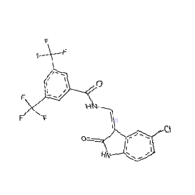 O=C1Nc2ccc(Cl)cc2/C1=C/NC(=O)c1cc(C(F)(F)F)cc(C(F)(F)F)c1